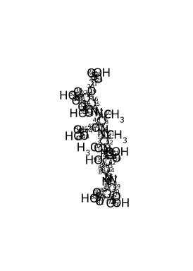 COc1cc(N=Nc2cc(C)c(N=Nc3ccc4c(OCCCS(=O)(=O)O)cc(S(=O)(=O)O)cc4c3S(=O)(=O)O)cc2OCCCS(=O)(=O)O)c(C)cc1N=Nc1c(S(=O)(=O)O)cc2cc(-n3nc4ccc5c(S(=O)(=O)O)cc(S(=O)(=O)O)cc5c4n3)ccc2c1O